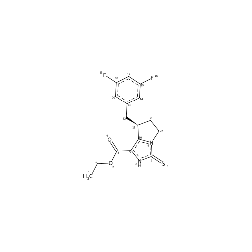 CCOC(=O)c1[nH]c(=S)n2c1[C@@H](Cc1cc(F)cc(F)c1)CC2